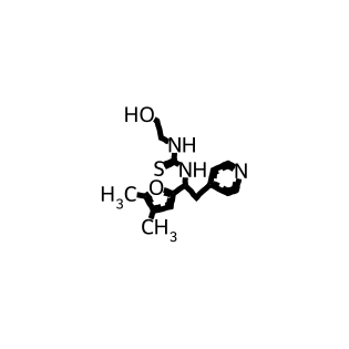 Cc1cc(C(Cc2ccncc2)NC(=S)NCCO)oc1C